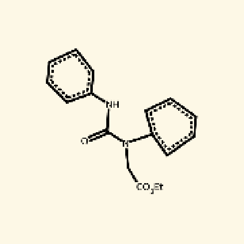 CCOC(=O)CN(C(=O)Nc1ccccc1)c1ccccc1